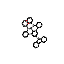 c1ccc(N2B3c4c(cc(-n5c6ccccc6c6ccccc65)cc4-c4ccccc4N3c3ccccc3)-c3ccccc32)cc1